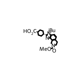 CC[C@H](C)n1c2ccc3c(c2nc1[C@H]1CC[C@H](C(=O)O)CC1)CN(C(=O)OC)CC3